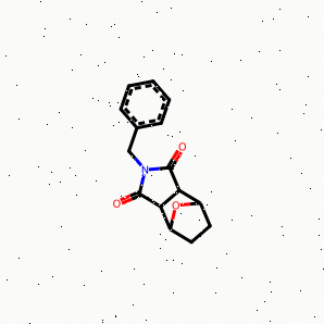 O=C1C2C3CCC(O3)C2C(=O)N1Cc1ccccc1